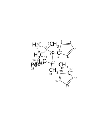 CC(C)(C)P([c-]1cccc1)C(C)(C)C.[Fe+2].[Pd+2].c1cc[cH-]c1